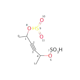 CC(C#CC(C)OS(=O)(=O)O)O[SH](=O)=O